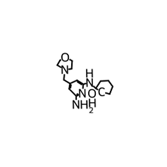 Nc1cc(CN2CCOCC2)cc(NC2(O)CCCCC2)n1